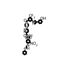 O=C(NS(=O)(=O)c1ccc(NCCSc2ccccc2)c([N+](=O)[O-])c1)c1ccc(N2CCN(C(=O)c3cc(-n4cc(-c5cccc(O)c5)cn4)cc(C(F)(F)F)c3)CC2)nn1